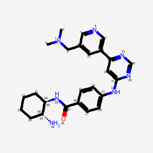 CN(C)Cc1cncc(-c2cc(Nc3ccc(C(=O)N[C@@H]4CCCC[C@H]4N)cc3)ncn2)c1